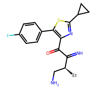 CC[C@@H](CN)C(=N)C(=O)c1nc(C2CC2)sc1-c1ccc(F)cc1